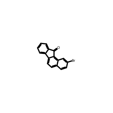 O=C1c2ccccc2-c2ccc3ccc(Br)cc3c21